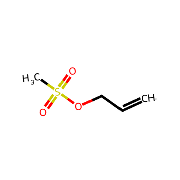 [CH]=CCOS(C)(=O)=O